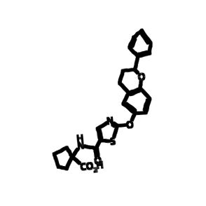 O=C(NC1(C(=O)O)CCCC1)c1cnc(Oc2ccc3c(c2)CCC(c2ccccc2)O3)s1